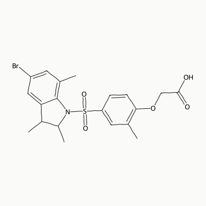 Cc1cc(S(=O)(=O)N2c3c(C)cc(Br)cc3C(C)C2C)ccc1OCC(=O)O